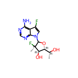 C[C@@H](O)[C@H]1OC(n2cc(F)c3c(N)ncnc32)[C@](C)(F)[C@@H]1O